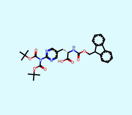 CC(C)(C)OC(=O)N(C(=O)OC(C)(C)C)c1ncc(C[C@H](NC(=O)OCC2c3ccccc3-c3ccccc32)C(=O)O)cn1